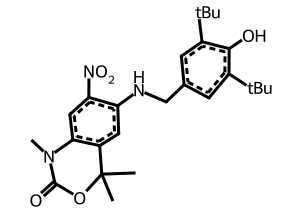 CN1C(=O)OC(C)(C)c2cc(NCc3cc(C(C)(C)C)c(O)c(C(C)(C)C)c3)c([N+](=O)[O-])cc21